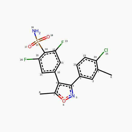 Cc1cc(-c2noc(C)c2-c2cc(F)c(S(N)(=O)=O)c(F)c2)ccc1Cl